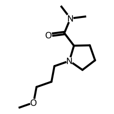 COCCCN1CCCC1C(=O)N(C)C